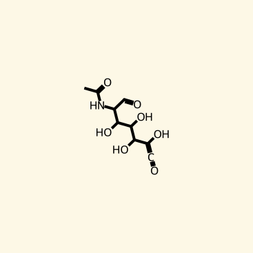 CC(=O)NC(C=O)C(O)C(O)C(O)C(O)=C=O